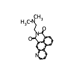 CN(C)CCN1C(=O)c2cccc3c2c(cc2ncccc23)C1=O